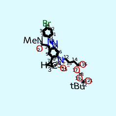 CNC(=O)c1c2cc(C3CC3)c(N(CCCC(=O)OCOC(=O)C(C)(C)C)[S+](C)[O-])cc2nn1-c1ccc(Br)cc1